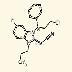 CCCn1/c(=N/C#N)n([C@H](CCCl)c2ccccc2)c2cc(F)ccc21